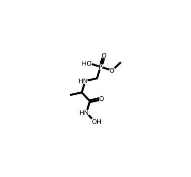 COP(=O)(O)CNC(C)C(=O)NO